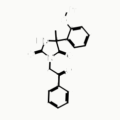 CC(C)Oc1ccccc1C1(C)NC(=O)N(CC(=O)c2ccccc2)C1=O